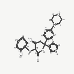 O=C1CC(c2cnc(N3CCOCC3)nc2)(c2ccsc2)OC(=O)C1Sc1ccccc1Cl